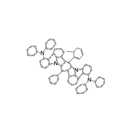 CC1CC=CC=C1c1c2c3cccc4c5c(N(c6ccccc6)c6ccccc6)cccc5n(c2c(-c2ccccc2)c2c5cccc6c7c(N(c8ccccc8)c8ccccc8)cccc7n(c12)c65)c43